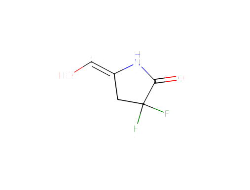 O=C1N/C(=C/O)CC1(F)F